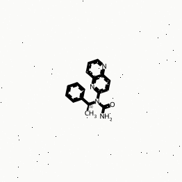 C[C@@H](c1ccccc1)N(C(N)=O)c1ccc2ncccc2n1